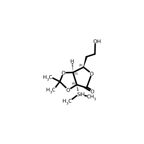 C[SiH](C)[C@]12OC(C)(C)O[C@H]1[C@@H](CCO)OC2=O